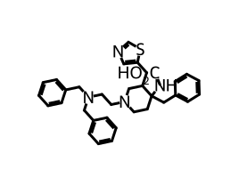 O=C(O)NC1(Cc2ccccc2)CCN(CCN(Cc2ccccc2)Cc2ccccc2)CC1Cc1cncs1